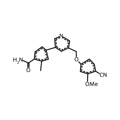 COc1cc(OCc2cncc(-c3ccc(C(N)=O)c(C)c3)c2)ccc1C#N